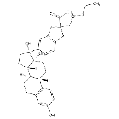 CCOOCC1(C(C)=O)Cc2ccc([C@]3(O)CC[C@H]4[C@@H]5CCc6cc(O)ccc6[C@H]5CC[C@@]43C)cc2C1